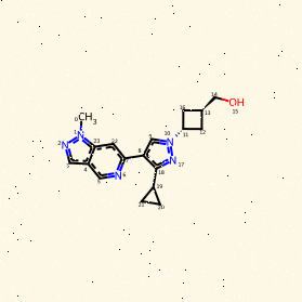 Cn1ncc2cnc(-c3cn([C@H]4C[C@H](CO)C4)nc3C3CC3)cc21